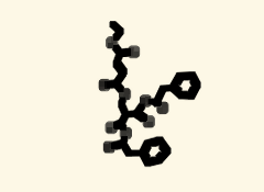 CCOC(=O)/C=C/C(=O)OCC(C(=O)OC(=O)Cc1ccccc1)C(=O)OC(=O)Cc1ccccc1